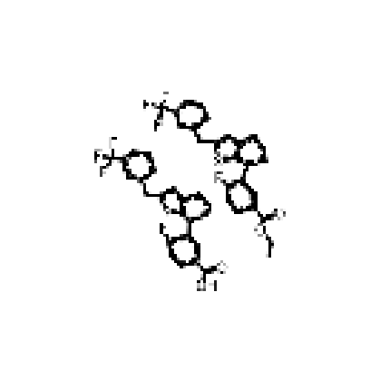 CCOC(=O)c1ccc(F)c(-c2cccc3cc(Cc4cccc(C(F)(F)F)c4)sc23)c1.O=C(O)c1ccc(F)c(-c2cccc3cc(Cc4cccc(C(F)(F)F)c4)sc23)c1